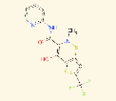 CN1Sc2cc(C(F)(F)F)sc2C(O)=C1C(=O)Nc1ccccn1